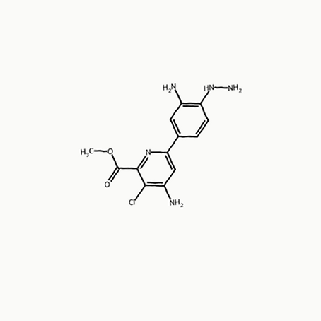 COC(=O)c1nc(-c2ccc(NN)c(N)c2)cc(N)c1Cl